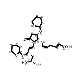 CCCC[C@H](C)C[C@@H](/C=C/[C@H]1C(=O)C[C@H](OC2CCCCO2)[C@@H]1C/C=C\C/C=C/C(=O)O)OC1CCCCO1